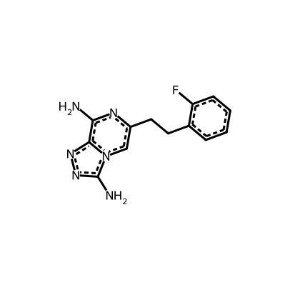 Nc1nc(CCc2ccccc2F)cn2c(N)nnc12